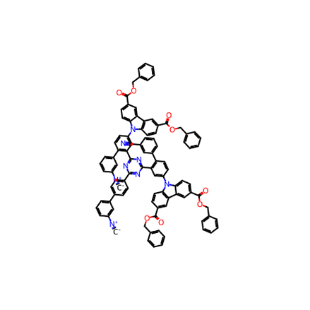 [C-]#[N+]c1cccc(-c2ccc(-c3nc(-c4cc(-n5c6ccc(C(=O)OCc7ccccc7)cc6c6cc(C(=O)OCc7ccccc7)ccc65)ccc4-c4cccc(C#N)c4)nc(-c4cc(-n5c6ccc(C(=O)OCc7ccccc7)cc6c6cc(C(=O)OCc7ccccc7)ccc65)ccc4-c4cccc([N+]#[C-])c4)n3)cc2)c1